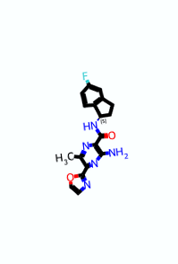 Cc1nc(C(=O)N[C@H]2CCc3cc(F)ccc32)c(N)nc1-c1ncco1